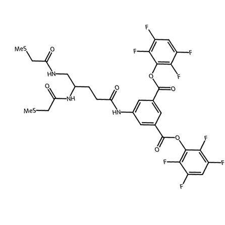 CSCC(=O)NCC(CCC(=O)Nc1cc(C(=O)Oc2c(F)c(F)cc(F)c2F)cc(C(=O)Oc2c(F)c(F)cc(F)c2F)c1)NC(=O)CSC